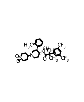 Cc1ccccc1[C@@H]1CN(C2CCS(=O)(=O)CC2)CC[C@H]1N(C)C(=O)C(C)(C)c1cc(C(F)(F)F)cc(C(F)(F)F)c1